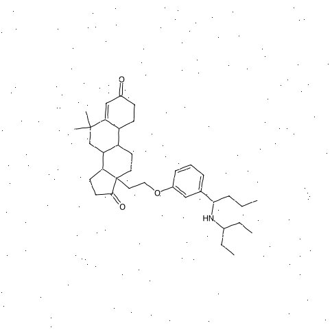 CCCC(NC(CC)CC)c1cccc(OCCC23CCC4C5CCC(=O)C=C5C(C)(C)CC4C2CCC3=O)c1